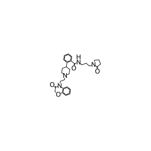 O=C(NCCCN1CCCC1=O)c1ccccc1C1CCN(CCN2C(=O)COc3ccccc32)CC1